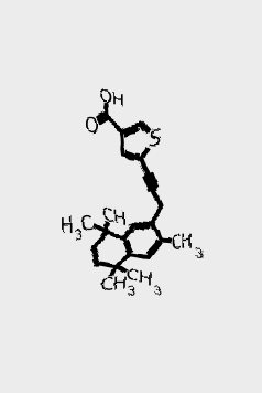 Cc1cc2c(cc1CC#Cc1cc(C(=O)O)cs1)C(C)(C)CCC2(C)C